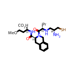 COCC[C@H](NC(=O)[C@@H]1Cc2ccccc2CN1C(=O)[C@@H](NC[C@@H](N)CS)C(C)C)C(=O)O